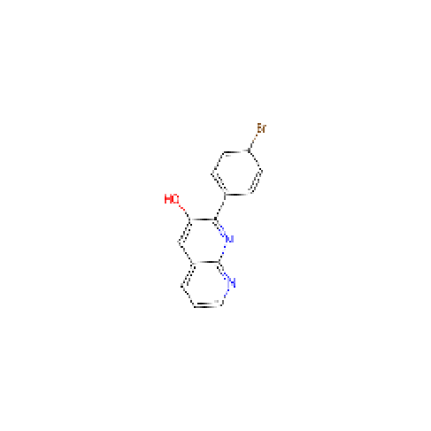 Oc1cc2cccnc2nc1-c1ccc(Br)cc1